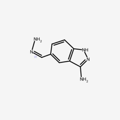 N/N=C\c1ccc2[nH]nc(N)c2c1